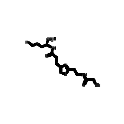 CC(C)CSC[C@H](NC(=O)CCc1noc(CCNC(=O)CC(C)(C)C)n1)C(=O)O